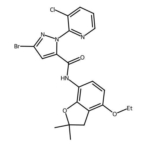 CCOc1ccc(NC(=O)c2cc(Br)nn2-c2ncccc2Cl)c2c1CC(C)(C)O2